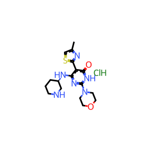 Cc1csc(-c2c(N[C@@H]3CCCNC3)nc(N3CCOCC3)[nH]c2=O)n1.Cl